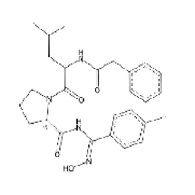 [CH2]c1ccc(C(=NO)NC(=O)[C@@H]2CCCN2C(=O)C(CC(C)C)NC(=O)Cc2ccccc2)cc1